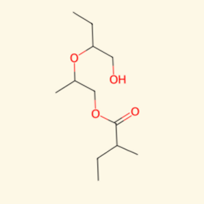 CCC(CO)OC(C)COC(=O)C(C)CC